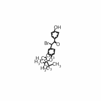 CC(C)[Si](Oc1ccc(C(Br)C(=O)c2ccc(O)cc2)cc1)(C(C)C)C(C)C